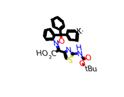 CC(C)(C)OC(=O)Nc1nc(C(=NOC(c2ccccc2)(c2ccccc2)c2ccccc2)C(=O)O)cs1.[K]